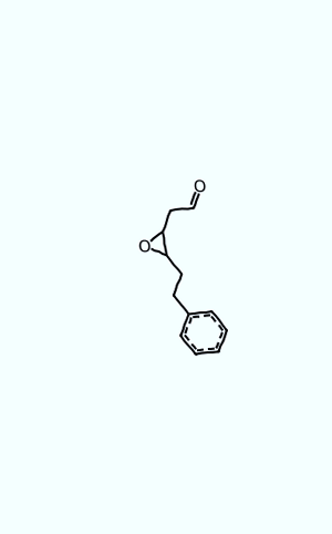 O=CCC1OC1CCc1ccccc1